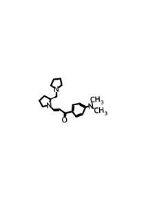 CN(C)c1ccc(C(=O)/C=C/N2CCC[C@H]2CN2CCCC2)cc1